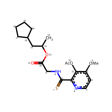 COc1ccnc(C(=S)NCC(=O)OC(C)CC2CCCC2)c1OC(C)=O